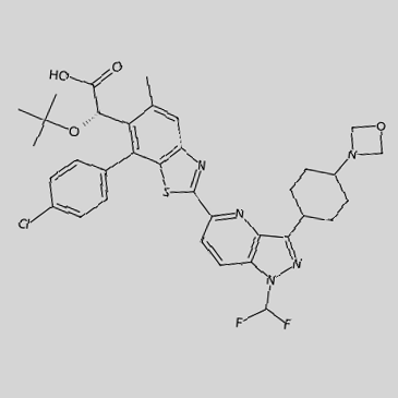 Cc1cc2nc(-c3ccc4c(n3)c(C3CCC(N5COC5)CC3)nn4C(F)F)sc2c(-c2ccc(Cl)cc2)c1[C@H](OC(C)(C)C)C(=O)O